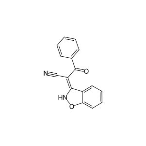 N#CC(C(=O)c1ccccc1)=C1NOc2ccccc21